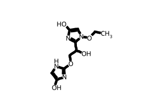 CCOn1cc(O)nc1C(O)COc1nc(O)c[nH]1